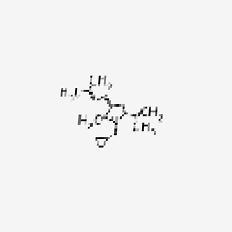 C=C(C)c1c/c(=C/C=C(C)C)c(=C)n1CC1CC1